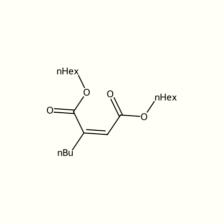 CCCCCCOC(=O)C=C(CCCC)C(=O)OCCCCCC